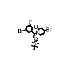 CC(C)(C)[Si](C)(C)OCC(c1cc(F)cc(Br)c1)n1ccc(Br)cc1=O